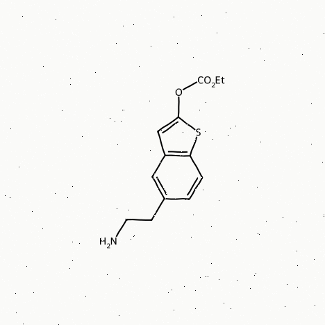 CCOC(=O)Oc1cc2cc(CCN)ccc2s1